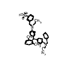 CCN(Cc1ccccc1)c1ccc(C(c2ccc(N(CC)Cc3cccc(S(=O)(=O)O)c3)cc2)c2c(C)cccc2C)cc1